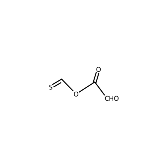 O=CC(=O)OC=S